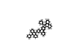 c1ccc(-c2c3ccccc3c(-c3ccc4c(c3)c3ccccc3c3cc5c6c7ccccc7c7ccccc7c6n(-c6ccccc6)c5cc43)c3ccccc23)cc1